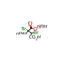 CCCCCCOC(=O)C(Br)(CCCCCC)C(Br)C(=O)O